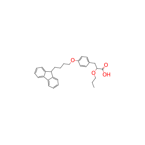 CCCOC(Cc1ccc(OCCCCC2c3ccccc3-c3ccccc32)cc1)C(=O)O